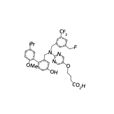 COc1ccc(C(C)C)cc1-c1ccc(O)cc1CN(Cc1cc(CF)cc(C(F)(F)F)c1)c1ncc(OCCCC(=O)O)cn1